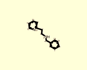 c1ccc(CNCCc2ccccn2)cc1